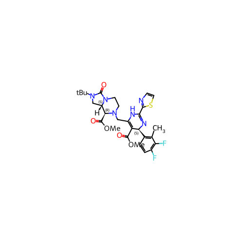 COC(=O)C1=C(CN2CCN3C(=O)N(C(C)(C)C)C[C@H]3[C@@H]2C(=O)OC)NC(c2nccs2)=N[C@H]1c1ccc(F)c(F)c1C